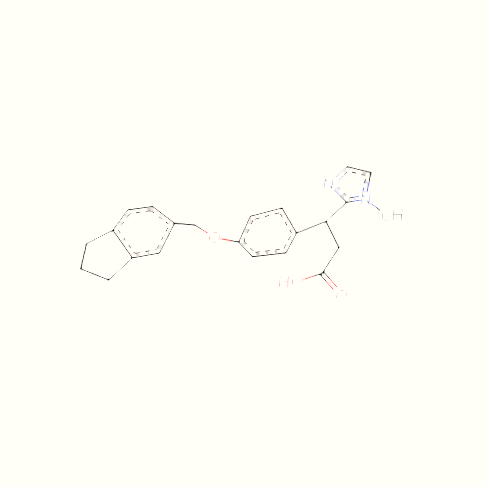 Cn1ccnc1C(CC(=O)O)c1ccc(OCc2ccc3c(c2)CCC3)cc1